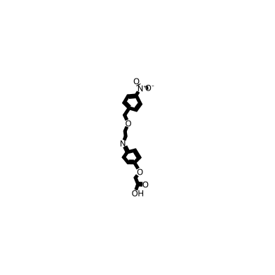 O=C(O)COC1=CCC(=NCCOCc2ccc([N+](=O)[O-])cc2)C=C1